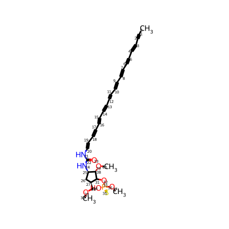 CC#CC#CC#CC#CC#CC#CC#CC#CC#CC#CNC(=O)N[C@@H]1C[C@H](COC)C(OP(O)(=S)OC)[C@@H]1OC